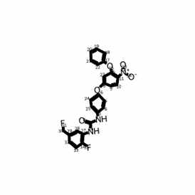 O=C(Nc1ccc(Oc2ccc([N+](=O)[O-])c(Oc3ccccc3)c2)cc1)Nc1cc(CF)ccc1F